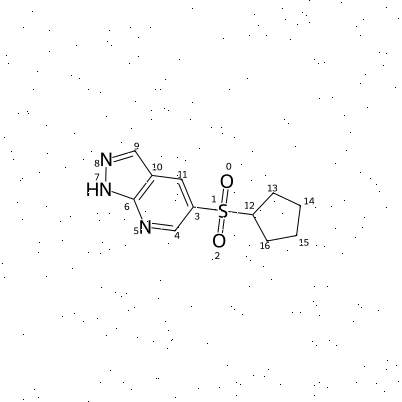 O=S(=O)(c1cnc2[nH]ncc2c1)C1CCCC1